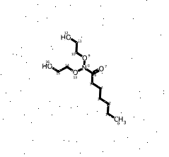 CCCCCCC(=O)N(OCCO)OCCO